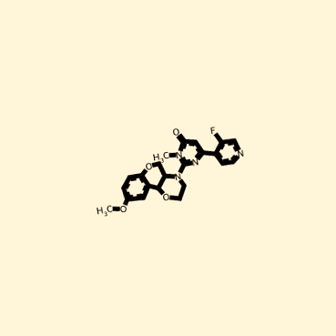 COc1ccc2c(c1)C1OCCN(c3nc(-c4ccncc4F)cc(=O)n3C)C1CO2